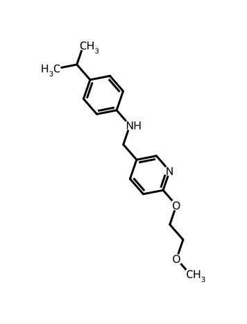 COCCOc1ccc(CNc2ccc(C(C)C)cc2)cn1